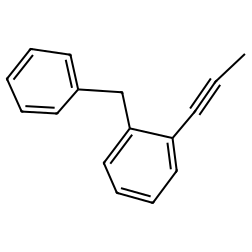 CC#Cc1ccccc1Cc1ccccc1